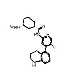 CC(=O)N[C@@H]1CCC[C@H](C(=O)Nc2cc(-c3cccc4c3CCCN4)c(Cl)cn2)C1